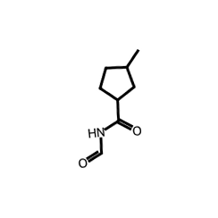 CC1CCC(C(=O)NC=O)C1